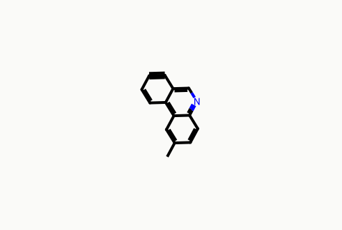 Cc1ccc2ncc3c#cccc3c2c1